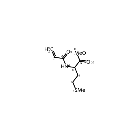 C=CC(=O)NC(CCSC)C(=O)OC